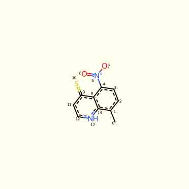 Cc1ccc([N+](=O)[O-])c2c(=S)cc[nH]c12